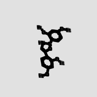 CCOc1ccc(C2=CNN(c3ccc(OCC)cc3OCC)O2)c(OCC)c1